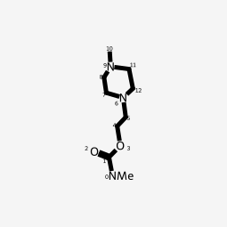 CNC(=O)OCCN1CCN(C)CC1